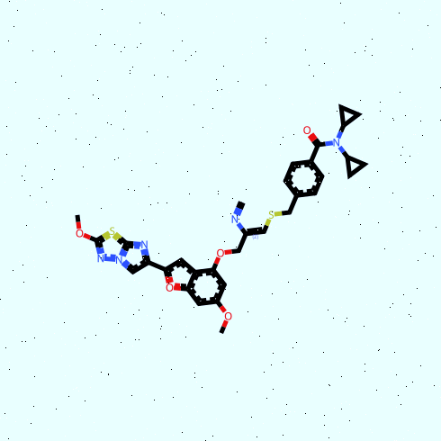 C=N/C(=C\SCc1ccc(C(=O)N(C2CC2)C2CC2)cc1)COc1cc(OC)cc2oc(-c3cn4nc(OC)sc4n3)cc12